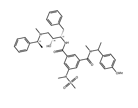 COc1ccc(C(C)N(C)C(=O)c2cc(C(=O)N[C@@H](Cc3ccccc3)[C@H](O)CN(C)[C@@H](C)c3ccccc3)cc(N(C)S(C)(=O)=O)c2)cc1